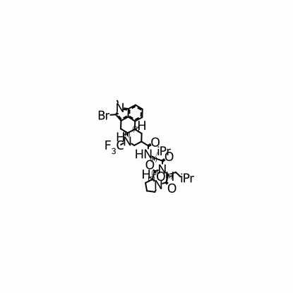 CC(C)C[C@H]1C(=O)N2CCC[C@H]2[C@]2(O)O[C@](NC(=O)C3C[C@@H]4c5cccc6c5c(c(Br)n6C)C[C@H]4N(C(F)(F)F)C3)(C(C)C)C(=O)N12